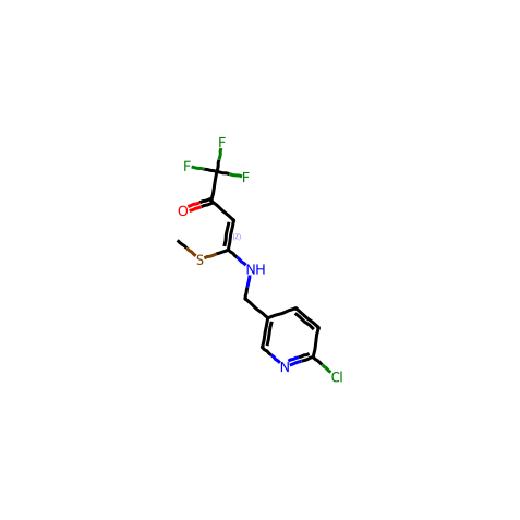 CS/C(=C\C(=O)C(F)(F)F)NCc1ccc(Cl)nc1